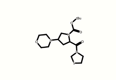 CC(C)(C)OC(=O)N1CC(N2CCOCC2)CC1C(=O)N1CCSC1